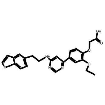 CCOc1cc(-c2cc(NCCc3ccc4sccc4c3)ncn2)ccc1OCC(=O)O